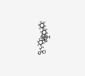 O=C(Cl)C=Cc1cccc(S(=O)(=O)Nc2ccc(-c3ccccc3)cc2)c1